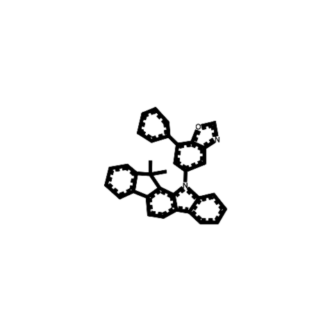 CC1(C)c2ccccc2-c2ccc3c4ccccc4n(-c4cc(-c5ccccc5)c5ocnc5c4)c3c21